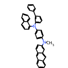 CN(c1ccc(N(c2cccc(-c3ccccc3)c2)c2cccc3ccccc23)cc1)c1ccc2cc3ccccc3cc2c1